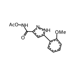 COc1ccccc1-c1cc(C(=O)NOC(C)=O)n[nH]1